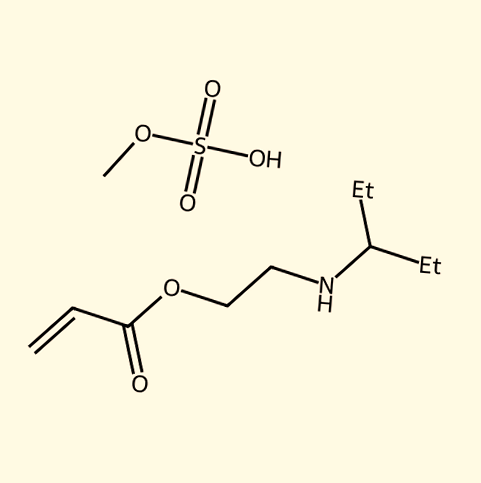 C=CC(=O)OCCNC(CC)CC.COS(=O)(=O)O